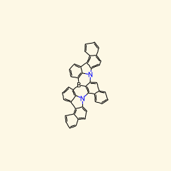 c1ccc2c3c4c(cc2c1)-n1c2ccc5ccccc5c2c2cccc(c21)B4c1cccc2c4c5ccccc5ccc4n-3c12